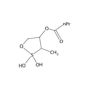 CCCC(=O)OC1COS(O)(O)C1C